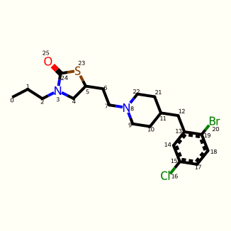 CCCN1CC(CCN2CCC(Cc3cc(Cl)ccc3Br)CC2)SC1=O